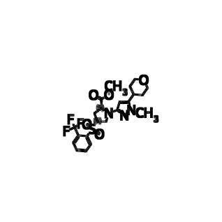 COC(=O)[C@@H]1C[C@@H](S(=O)(=O)c2ccccc2C(F)(F)F)CN1c1cc(C2CCOCC2)n(C)n1